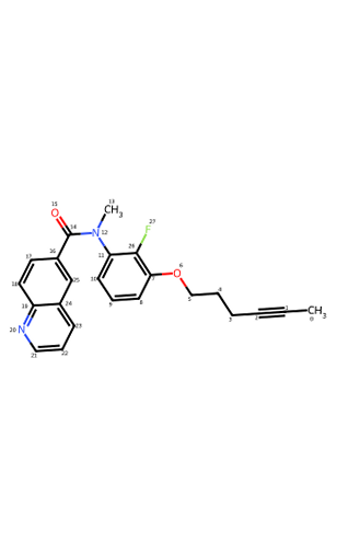 CC#CCCCOc1cccc(N(C)C(=O)c2ccc3ncccc3c2)c1F